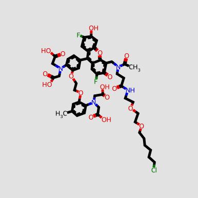 CC(=O)N(CCC(=O)NCCOCCOCCCCCCCl)Cc1c2oc3cc(O)c(F)cc3c(-c3ccc(N(CC(=O)O)CC(=O)O)c(OCCOc4cc(C)ccc4N(CC(=O)O)CC(=O)O)c3)c-2cc(F)c1=O